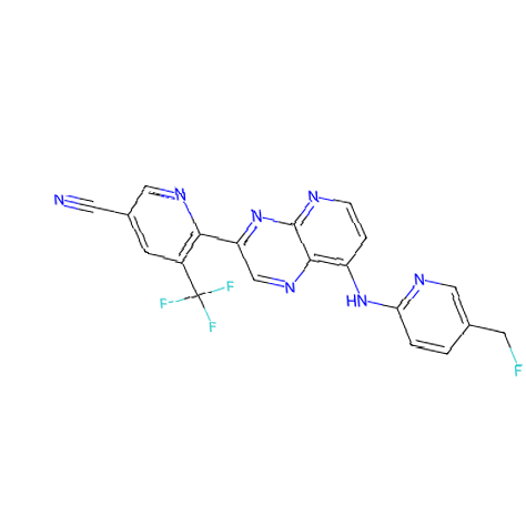 N#Cc1cnc(-c2cnc3c(Nc4ccc(CF)cn4)ccnc3n2)c(C(F)(F)F)c1